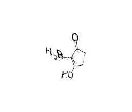 BC1=C(O)CCC1=O